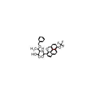 CC(OCc1ccccc1)[C@H](NC(=O)c1ccc2ccccc2c1OCc1ccc(OC(F)(F)F)cc1)C(=O)O